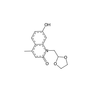 Cc1cc(=O)n(CC2OCCO2)c2cc(O)ccc12